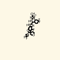 Cc1nc(N[C@H](c2nc3c(F)c(C4(C(=O)N5CC(F)(F)C5)CCOCC4)ccc3[nH]2)C2CCC(F)(F)CC2)no1